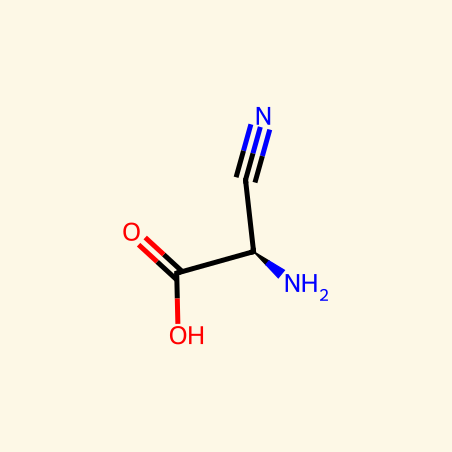 N#C[C@@H](N)C(=O)O